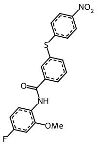 COc1cc(F)ccc1NC(=O)c1cccc(Sc2ccc([N+](=O)[O-])cc2)c1